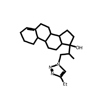 CCc1cn(CC(C)C2(O)CCC3C4CCC5=CCCCC5C4CCC32)nn1